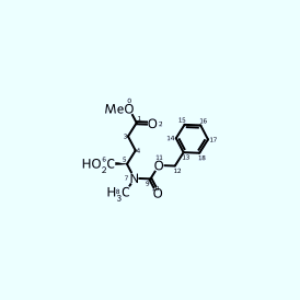 COC(=O)CC[C@H](C(=O)O)N(C)C(=O)OCc1ccccc1